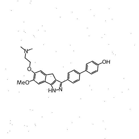 COc1cc2c(cc1OCCN(C)C)Cc1c(-c3ccc(-c4ccc(O)cc4)cc3)n[nH]c1-2